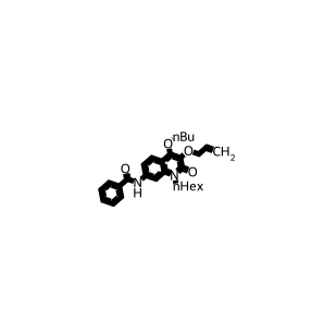 C=CCOc1c(OCCCC)c2ccc(NC(=O)c3ccccc3)cc2n(CCCCCC)c1=O